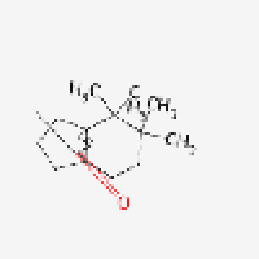 CC1(C)CCC23CCCC2(C=CC3=O)C1(C)C